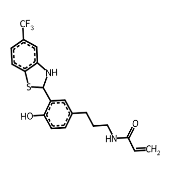 C=CC(=O)NCCCc1ccc(O)c(C2Nc3cc(C(F)(F)F)ccc3S2)c1